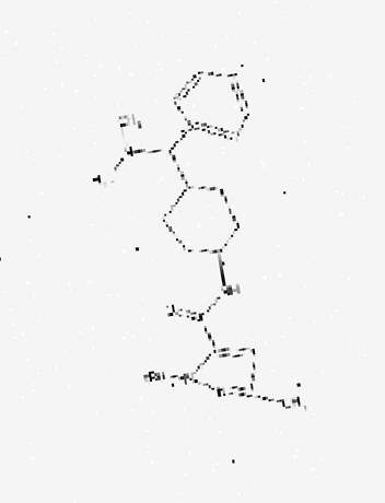 Cc1cc(C(=O)NC2CCC(C(c3ccccc3)N(C)C)CC2)n(C(C)(C)C)n1